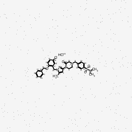 Cc1cc(N2CCN(Cc3ccc(S(=O)(=O)N(C)C)cc3)CC2=O)nn1Cc1cc(Cl)ccc1OCc1ccccc1.Cl